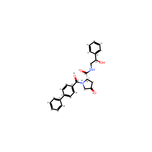 O=C1C[C@@H](C(=O)NCC(O)c2ccccc2)N(C(=O)c2ccc(-c3ccccc3)cc2)C1